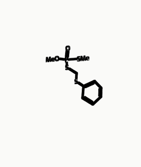 COP(=O)(SC)SCSc1ccccc1